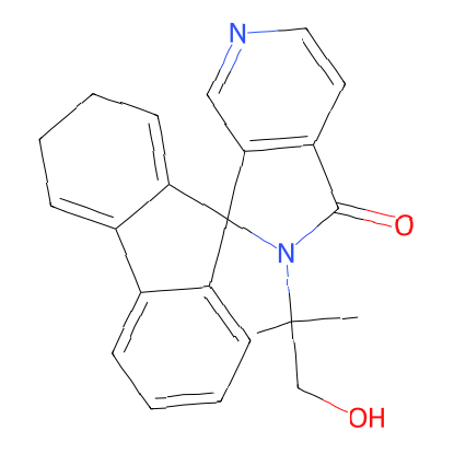 CC(C)(CO)N1C(=O)c2ccncc2C12C1=CCCC=C1c1ccccc12